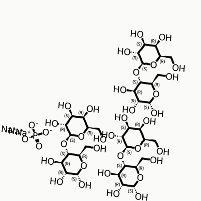 O=P([O-])([O-])[O-].OC[C@H]1O[C@@H](O[C@H]2[C@H](O)[C@@H](O)[C@@H](O)O[C@@H]2CO)[C@H](O)[C@@H](O)[C@H]1O.OC[C@H]1O[C@@H](O[C@H]2[C@H](O)[C@@H](O)[C@@H](O)O[C@@H]2CO)[C@H](O)[C@@H](O)[C@H]1O.OC[C@H]1O[C@@H](O[C@H]2[C@H](O)[C@@H](O)[C@@H](O)O[C@@H]2CO)[C@H](O)[C@@H](O)[C@H]1O.[Na+].[Na+].[Na+]